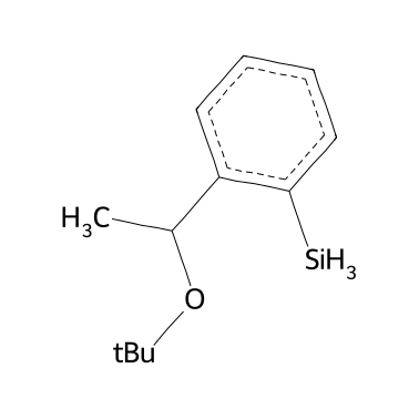 CC(OC(C)(C)C)c1ccccc1[SiH3]